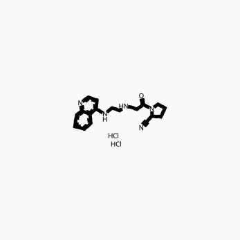 Cl.Cl.N#CC1CCCN1C(=O)CNCCNc1ccnc2ccccc12